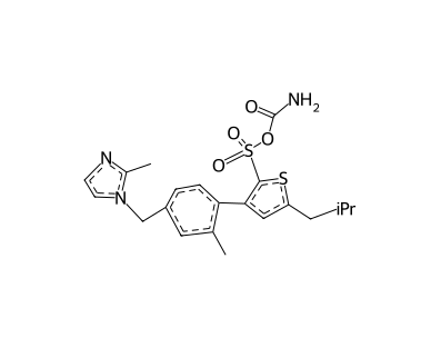 Cc1cc(Cn2ccnc2C)ccc1-c1cc(CC(C)C)sc1S(=O)(=O)OC(N)=O